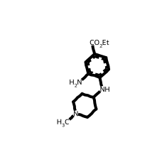 CCOC(=O)c1ccc(NC2CCN(C)CC2)c(N)c1